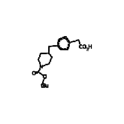 CC(C)(C)OC(=O)N1CCC(Cc2ccc(CC(=O)O)cc2)CC1